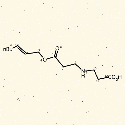 CCCCC=CCOC(=O)CCNCCC(=O)O